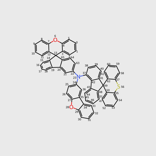 c1ccc2c(c1)Oc1ccccc1C21c2ccccc2-c2cc(N(c3ccc4oc5ccccc5c4c3)c3cccc4c3-c3ccccc3C43c4ccccc4Sc4ccccc43)ccc21